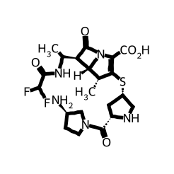 CC(NC(=O)C(F)F)[C@H]1C(=O)N2C(C(=O)O)=C(S[C@@H]3CN[C@H](C(=O)N4CC[C@@H](N)C4)C3)[C@H](C)[C@H]12